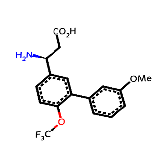 COc1cccc(-c2cc([C@@H](N)CC(=O)O)ccc2OC(F)(F)F)c1